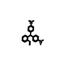 C=Cc1ccccc1C(c1ccc(N(C)C)cc1)c1ccc(N(C)C)cc1